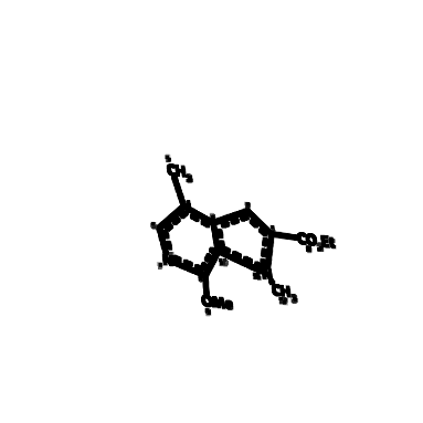 CCOC(=O)c1cc2c(C)cnc(OC)c2n1C